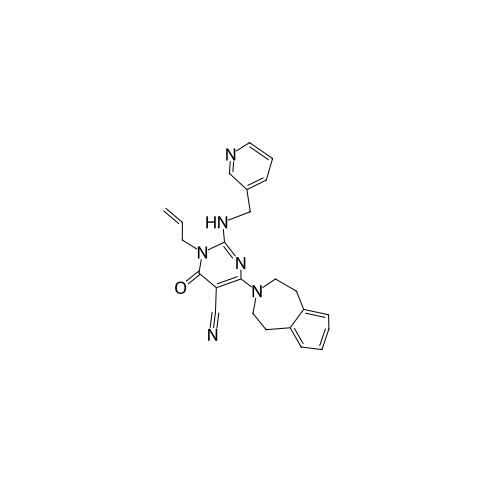 C=CCn1c(NCc2cccnc2)nc(N2CCc3ccccc3CC2)c(C#N)c1=O